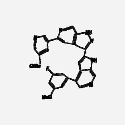 COc1cncc(-c2cc3c(-c4cc5c(-c6cc(F)cc(OC)c6)cncc5[nH]4)n[nH]c3cn2)c1